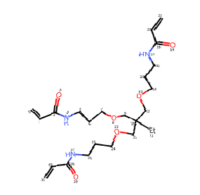 C=CC(=O)NCCCOCC(CC)(COCCCNC(=O)C=C)COCCCNC(=O)C=C